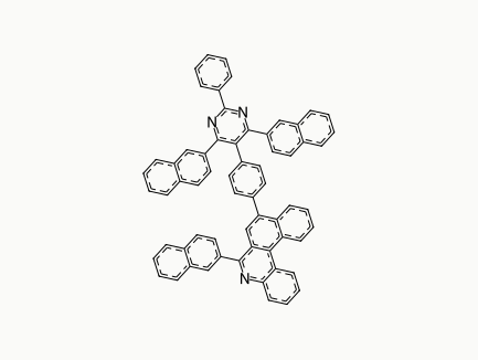 c1ccc(-c2nc(-c3ccc4ccccc4c3)c(-c3ccc(-c4cc5c(-c6ccc7ccccc7c6)nc6ccccc6c5c5ccccc45)cc3)c(-c3ccc4ccccc4c3)n2)cc1